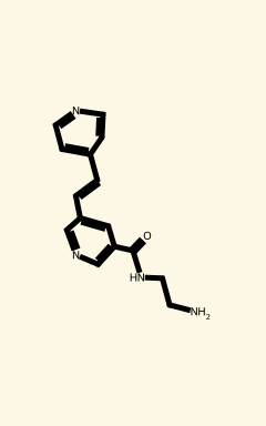 NCCNC(=O)c1cncc(C=Cc2ccncc2)c1